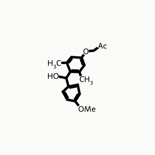 COc1ccc(C(O)c2c(C)cc(OCC(C)=O)cc2C)cc1